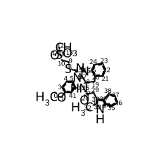 COc1ccc(-n2c(SCCS(C)(=O)=O)nnc2C(Cc2ccccc2)NC(=O)Cc2c(C)[nH]c3ccccc23)cc1